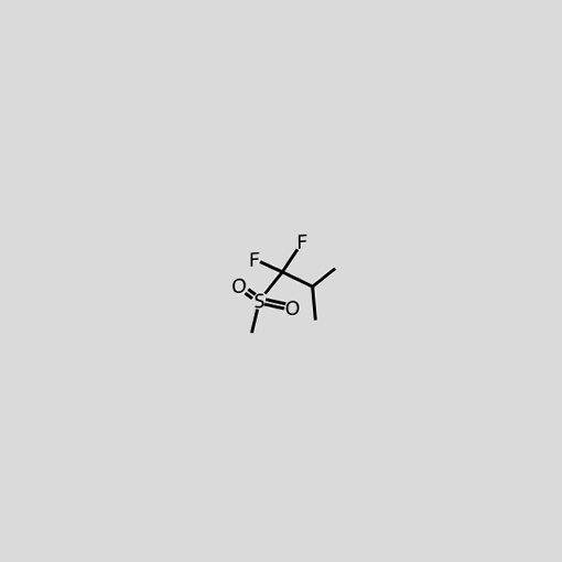 CC(C)C(F)(F)S(C)(=O)=O